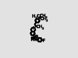 CC(Cc1ccc(C(C)(C)C)cc1)N1CCc2ccc(S(=O)(=O)Nc3ccc(F)cc3)cc2C1